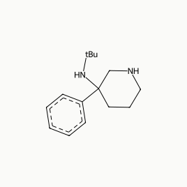 CC(C)(C)NC1(c2ccccc2)CCCNC1